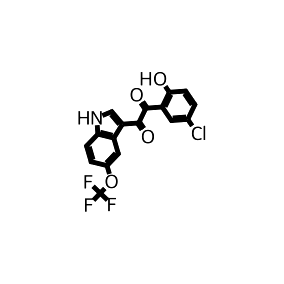 O=C(C(=O)c1c[nH]c2ccc(OC(F)(F)F)cc12)c1cc(Cl)ccc1O